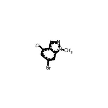 Cn1ncc2c(Cl)cc(Br)cc21